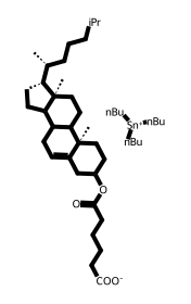 CC(C)CCC[C@@H](C)[C@H]1CCC2C3CC=C4CC(OC(=O)CCCCC(=O)[O-])CC[C@]4(C)C3CC[C@@]21C.CCC[CH2][Sn+]([CH2]CCC)[CH2]CCC